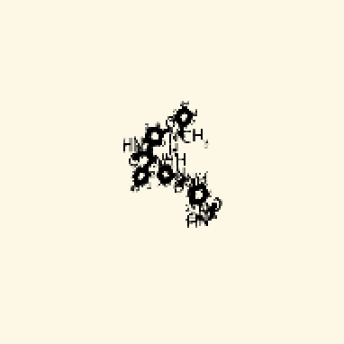 C[C@H](NC(=O)c1ccc2c(c1)C(=C(Nc1cccc(NC(=O)Nc3ccc(N4C(=O)CNC4=O)cc3)c1)c1ccccc1)C(=O)N2)c1ccccc1